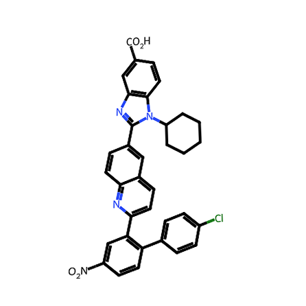 O=C(O)c1ccc2c(c1)nc(-c1ccc3nc(-c4cc([N+](=O)[O-])ccc4-c4ccc(Cl)cc4)ccc3c1)n2C1CCCCC1